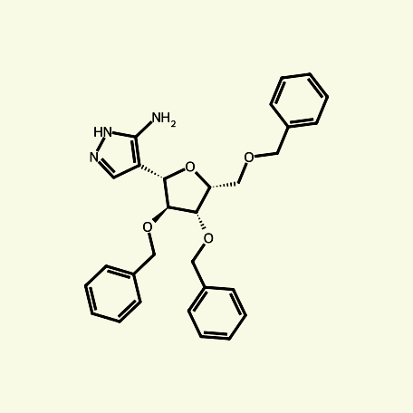 Nc1[nH]ncc1[C@@H]1O[C@H](COCc2ccccc2)[C@H](OCc2ccccc2)[C@H]1OCc1ccccc1